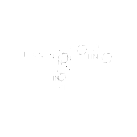 Cc1cc(Nc2nc(Sc3ccc(C(=O)Nc4ccccc4)cc3)nc(N3CCN(C)CC3)n2)n[nH]1